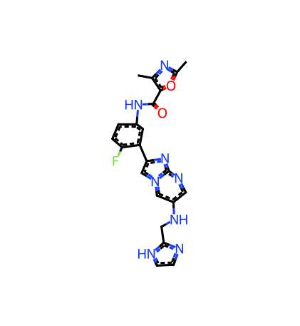 Cc1nc(C)c(C(=O)Nc2ccc(F)c(-c3cn4cc(NCc5ncc[nH]5)cnc4n3)c2)o1